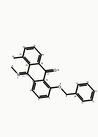 C/N=C1/c2cccc(OCc3ccccc3)c2C(=O)c2cccc(C)c21